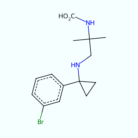 CC(C)(CNC1(c2cccc(Br)c2)CC1)NC(=O)O